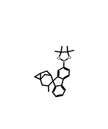 CC1CC23CC2CC(C3)C12c1ccccc1-c1ccc(B3OC(C)(C)C(C)(C)O3)cc12